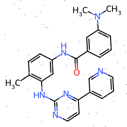 Cc1ccc(NC(=O)c2cccc(N(C)C)c2)cc1Nc1nccc(-c2cccnc2)n1